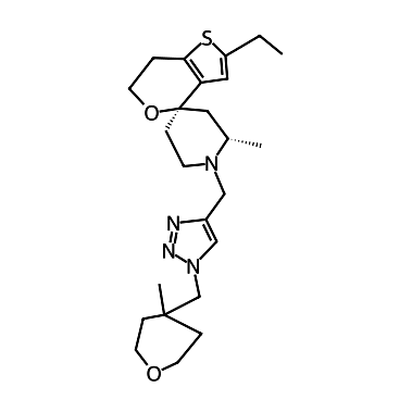 CCc1cc2c(s1)CCO[C@@]21CCN(Cc2cn(CC3(C)CCOCC3)nn2)[C@@H](C)C1